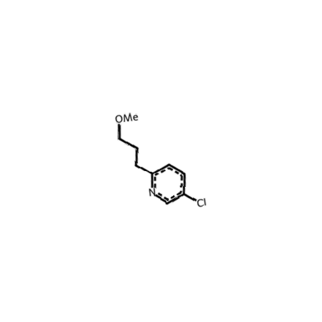 COCCCc1ccc(Cl)cn1